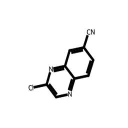 N#Cc1ccc2ncc(Cl)nc2c1